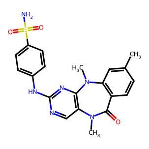 Cc1ccc2c(c1)N(C)c1nc(Nc3ccc(S(N)(=O)=O)cc3)ncc1N(C)C2=O